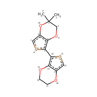 CC1(C)COc2c(csc2-c2scc3c2OCCO3)O1